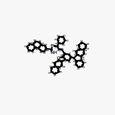 N=C(/N=C(\C=C\c1cc(C2c3ccccc3-c3cc4ccccc4cc32)cc2c1oc1cc3ccccc3cc12)c1ccccc1)c1ccc2c(ccc3ccccc32)c1